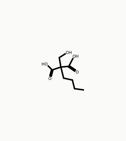 CCCCC(CO)(C(=O)O)C(=O)O